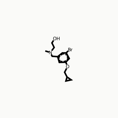 CN(CCO)Cc1cc(Br)cc(OCC2CC2)c1